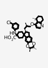 C[C@@H](COc1ccnc2c1[C@H](C)CCC2)C[C@H]1Cc2cc3c(cc2C12CCC(Nc1cccc(Cl)c1)(C(=O)O)CC2)O[C@H](C)[C@@H](C)O3